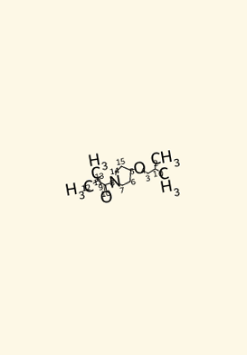 CC(C)COC1CCN(C(=O)C(C)C)CC1